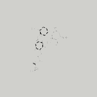 Cc1ccc([C@H]2[C@H](O)[C@H](O)[C@H](O)C[SH]2C)cc1Cc1ccc(CCCC(=O)NC(C)(C)C)cc1